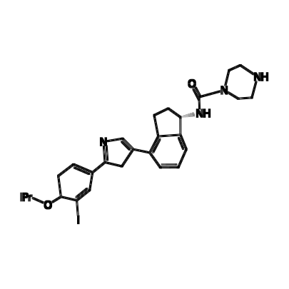 CC(C)OC1CC=C(C2=NC=C(c3cccc4c3CC[C@@H]4NC(=O)N3CCNCC3)C2)C=C1I